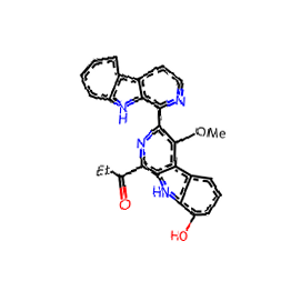 CCC(=O)c1nc(-c2nccc3c2[nH]c2ccccc23)c(OC)c2c1[nH]c1c(O)cccc12